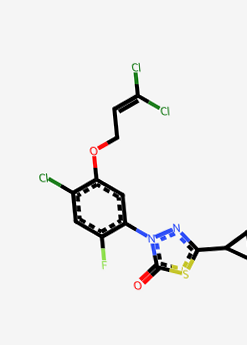 O=c1sc(C2CC2)nn1-c1cc(OCC=C(Cl)Cl)c(Cl)cc1F